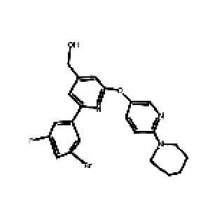 OCc1cc(Oc2ccc(N3CCCCC3)nc2)nc(-c2cc(F)cc(Br)c2)c1